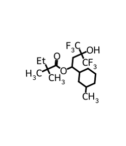 CCC(C)(C)C(=O)OC(CC(O)(C(F)(F)F)C(F)(F)F)C1CCCC(C)C1